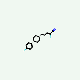 N#C/C(F)=C/CC[C@H]1CC[C@H](c2ccc(F)cc2)CC1